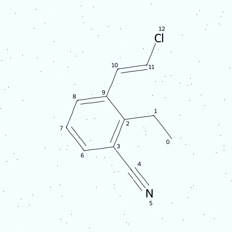 CCc1c(C#N)cccc1C=CCl